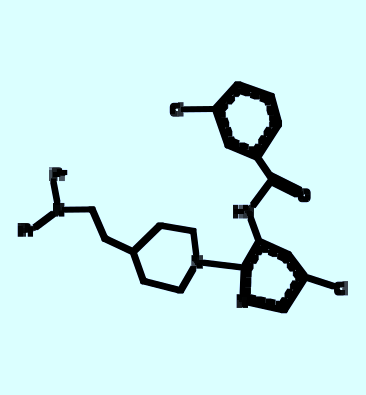 CC(C)N(CCC1CCN(c2ncc(Cl)cc2NC(=O)c2cccc(Cl)c2)CC1)C(C)C